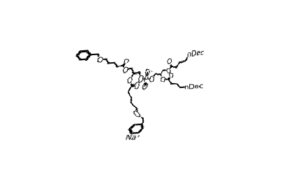 CCCCCCCCCCCCCC(=O)OC[C@H](COP(=O)([O-])OCC(COC(=O)CCCCOCc1ccccc1)OC(=O)CCCCOCc1ccccc1)OC(=O)CCCCCCCCCCCCC.[Na+]